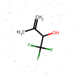 C=C(C)C(O)C(F)(F)F